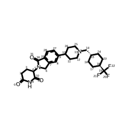 O=C1CCC(N2Cc3cc(C4CCN(C[C@H]5CC[C@H](C(F)(F)F)CC5)CC4)ccc3C2=O)C(=O)N1